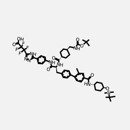 Cc1cc(C(=O)N[C@H]2CC[C@H](O[Si](C)(C)C(C)(C)C)CC2)ccc1-c1ccc(C[C@H](NC(=O)[C@H]2CC[C@H](CNC(=O)OC(C)(C)C)CC2)C(=O)Nc2ccc(-c3nnc(C(F)(F)C(F)(F)C(=O)O)[nH]3)cc2)cc1